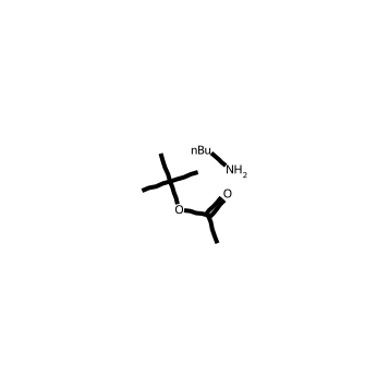 CC(=O)OC(C)(C)C.CCCCN